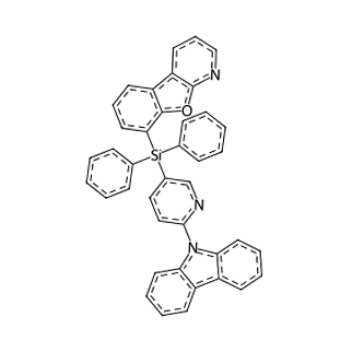 c1ccc([Si](c2ccccc2)(c2ccc(-n3c4ccccc4c4ccccc43)nc2)c2cccc3c2oc2ncccc23)cc1